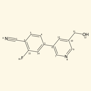 N#Cc1ccc(-c2cncc(CO)c2)cc1F